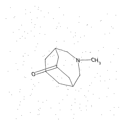 CN1CC2CCCC(CC(=O)C2)C1